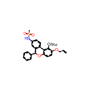 C=CCOc1ccc2c(c1OC)-c1ccc(NS(C)(=O)=O)cc1C(c1ccccc1)O2